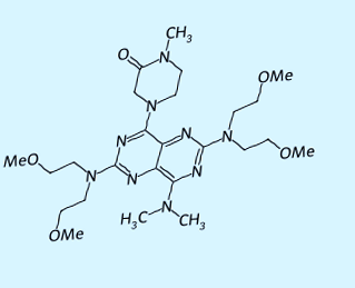 COCCN(CCOC)c1nc(N2CCN(C)C(=O)C2)c2nc(N(CCOC)CCOC)nc(N(C)C)c2n1